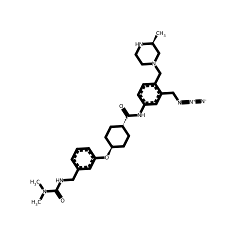 C[C@H]1CN(Cc2ccc(NC(=O)[C@H]3CC[C@H](Oc4cccc(CNC(=O)N(C)C)c4)CC3)cc2CN=[N+]=[N-])CCN1